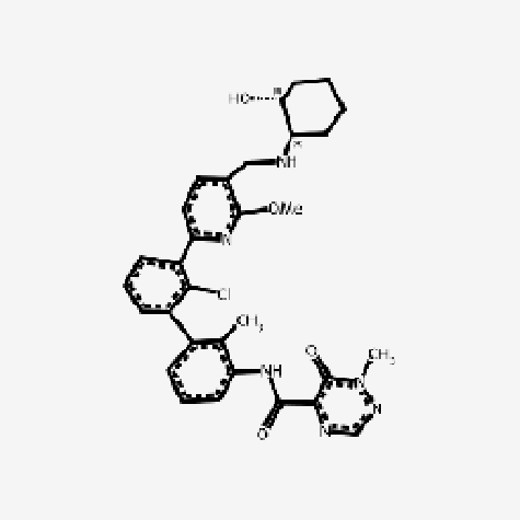 COc1nc(-c2cccc(-c3cccc(NC(=O)c4ncnn(C)c4=O)c3C)c2Cl)ccc1CN[C@@H]1CCCC[C@H]1O